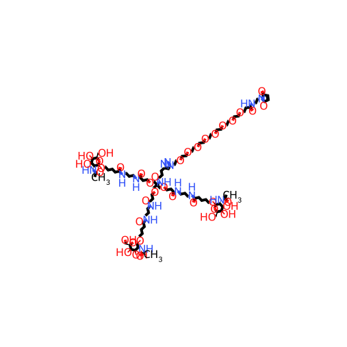 CC(=O)N[C@H]1[C@H](OCCCCC(=O)NCCCNC(=O)CCOCC(COCCC(=O)NCCCNC(=O)CCCCO[C@@H]2O[C@H](CO)[C@H](O)[C@H](O)[C@H]2NC(C)=O)(COCCC(=O)NCCCNC(=O)CCCCO[C@@H]2O[C@H](CO)[C@H](O)[C@H](O)[C@H]2NC(C)=O)NC(=O)CCc2cn(CCOCCOCCOCCOCCOCCOCCOCCOCCC(=O)NCCN3C(=O)C=CC3=O)nn2)O[C@H](CO)[C@H](O)[C@@H]1O